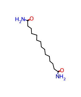 NC(=O)CCCCCCCCCCCCCC(N)=O